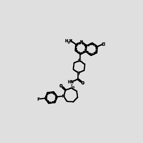 Nc1cc(N2CCN(C(=O)N[C@@H]3CCCCN(c4ccc(F)cc4)C3=O)CC2)c2ccc(Cl)cc2n1